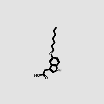 CCCCCCCOc1ccc2[nH]cc(CC(=O)O)c2c1